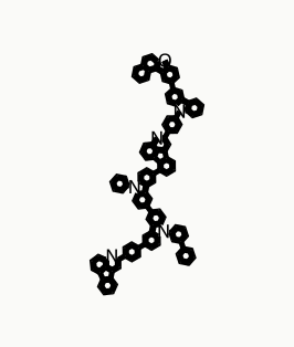 c1ccc(-c2cccc(-n3c4ccc(-c5ccc(-c6cc7c8c(cccc8n6)-c6ccccc6-7)cc5)cc4c4cc(-c5ccc6c(c5)c5cc(-c7cccc8c7-c7cccc9nc(-c%10ccc(-n%11c%12ccccc%12c%12cc(-c%13ccc%14oc%15ccc%16ccccc%16c%15c%14c%13)ccc%12%11)cc%10)cc-8c79)ccc5n6-c5ccccc5)ccc43)c2)cc1